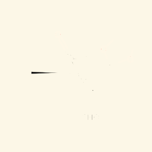 C=C[C@@]1(C)/C=C(/C=O)C23CCC(C)[C@@](C)(C(=O)C1)C2C1(CC3)OCCO1